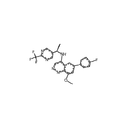 COc1cc(-c2ccc(F)cc2)cc2c(NC(C)c3cnc(C(F)(F)F)nc3)cnnc12